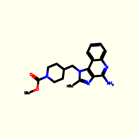 CCCCc1nc2c(N)nc3ccccc3c2n1CC1CCN(C(=O)OC(C)(C)C)CC1